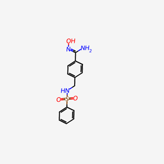 NC(=NO)c1ccc(CNS(=O)(=O)c2ccccc2)cc1